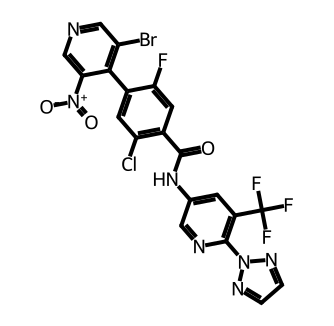 O=C(Nc1cnc(-n2nccn2)c(C(F)(F)F)c1)c1cc(F)c(-c2c(Br)cncc2[N+](=O)[O-])cc1Cl